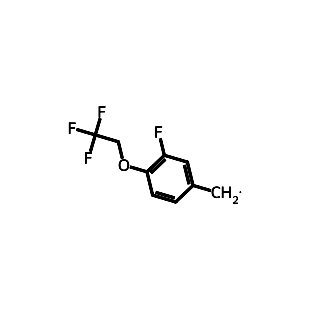 [CH2]c1ccc(OCC(F)(F)F)c(F)c1